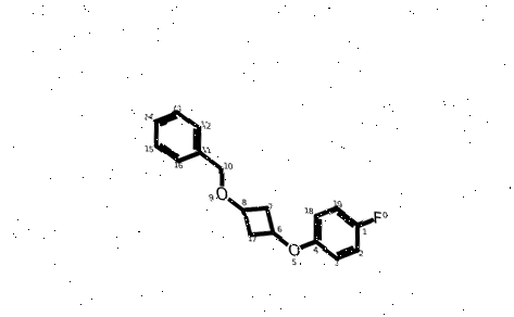 Fc1ccc(OC2CC(OCc3ccccc3)C2)cc1